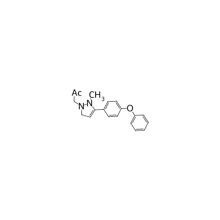 CC(=O)CN1CC=C(c2ccc(Oc3ccccc3)cc2)N1C